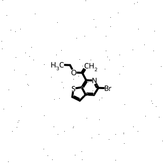 C=C(OCC)c1nc(Br)cc2ccsc12